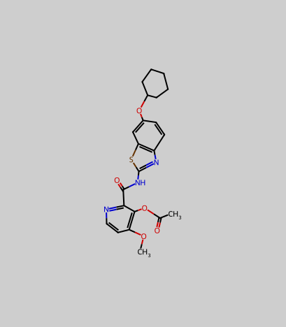 COc1ccnc(C(=O)Nc2nc3ccc(OC4CCCCC4)cc3s2)c1OC(C)=O